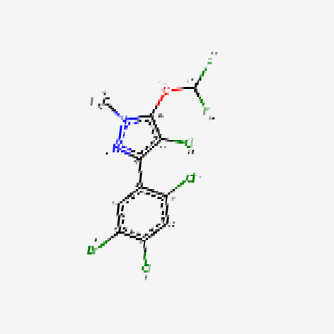 Cn1nc(-c2cc(Br)c(Cl)cc2Cl)c(Cl)c1OC(F)F